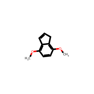 COc1ccc(OC)c2c1C=CC2